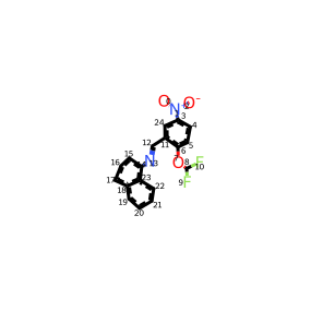 O=[N+]([O-])c1ccc(OC(F)F)c(C=Nc2cccc3ccccc23)c1